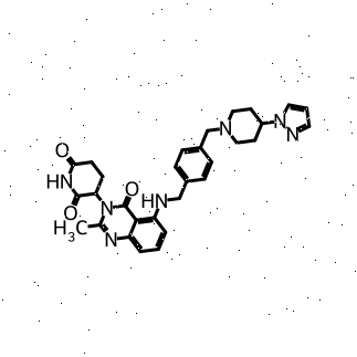 Cc1nc2cccc(NCc3ccc(CN4CCC(n5cccn5)CC4)cc3)c2c(=O)n1C1CCC(=O)NC1=O